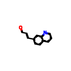 O=CC=Cc1ccc2cccnc2c1